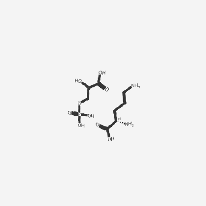 NCCC[C@H](N)C(=O)O.O=C(O)C(O)COP(=O)(O)O